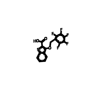 O=C(O)c1sc2ccccc2c1OCc1c(F)c(F)c(F)c(F)c1F